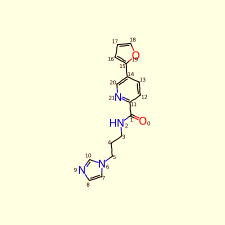 O=C(NCCCn1ccnc1)c1ccc(-c2ccco2)cn1